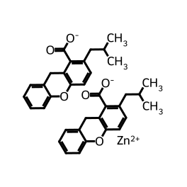 CC(C)Cc1ccc2c(c1C(=O)[O-])Cc1ccccc1O2.CC(C)Cc1ccc2c(c1C(=O)[O-])Cc1ccccc1O2.[Zn+2]